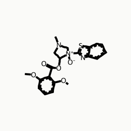 COc1cccc(OC)c1C(=O)OC1CN(C)C[N+]1([O-])c1nc2ccccc2s1